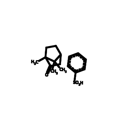 CC12CCC(CC1=O)C2(C)C.O=S(=O)(O)c1ccccc1